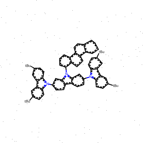 CC(C)(C)c1ccc2c(c1)c1cc(C(C)(C)C)ccc1n2-c1ccc2c3ccc(-n4c5ccc(C(C)(C)C)cc5c5cc(C(C)(C)C)ccc54)cc3n(-c3cccc4c3ccc3c5ccccc5ccc43)c2c1